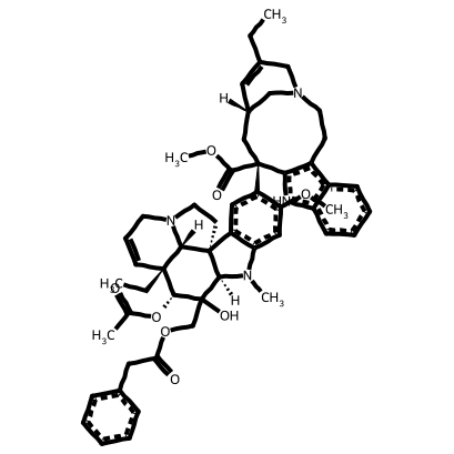 CCC1=C[C@@H]2CN(CCc3c([nH]c4ccccc34)[C@@](C(=O)OC)(c3cc4c(cc3OC)N(C)[C@H]3C(O)(COC(=O)Cc5ccccc5)[C@H](OC(C)=O)[C@]5(CC)C=CCN6CC[C@]43[C@@H]65)C2)C1